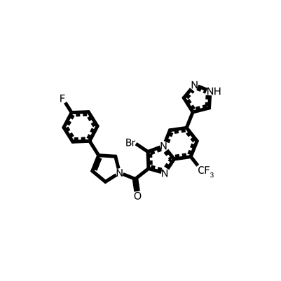 O=C(c1nc2c(C(F)(F)F)cc(-c3cn[nH]c3)cn2c1Br)N1CC=C(c2ccc(F)cc2)C1